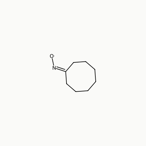 [O]N=C1CCCCCCC1